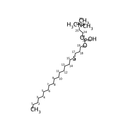 CCCCCCCCCCCCCCCCSCCCOP(O)OCC[N+](C)(C)C